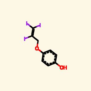 Oc1ccc(OCC(I)=C(I)I)cc1